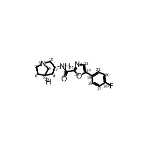 O=C(N[C@@H]1C[C@H]2CCN(C2)C1)c1ncc(-c2ccc(F)cc2)o1